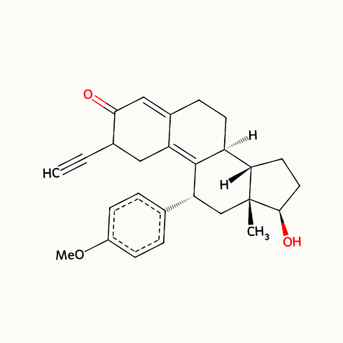 C#CC1CC2=C3[C@@H](CCC2=CC1=O)[C@@H]1CC[C@@H](O)[C@]1(C)C[C@@H]3c1ccc(OC)cc1